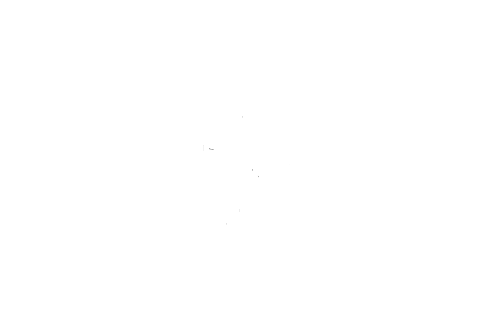 CCO[C@@H]1CC(=O)N(C=C=O)C[C@H]1CC